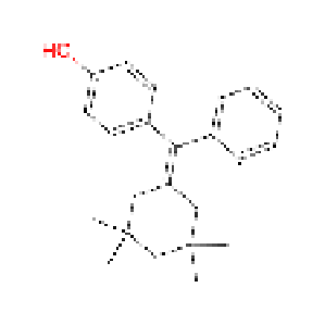 CC1(C)CC(=C(c2[c]cccc2)c2ccc(O)cc2)CC(C)(C)C1